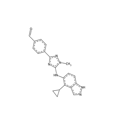 Cn1nc(-c2ccc(C=O)cc2)nc1Nc1ccc2[nH]ncc2c1C1CC1